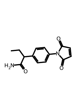 CCC(C(N)=O)c1ccc(N2C(=O)C=CC2=O)cc1